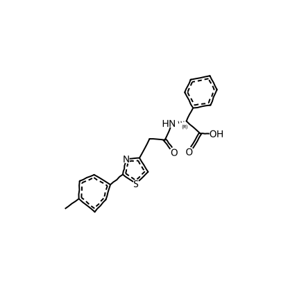 Cc1ccc(-c2nc(CC(=O)N[C@@H](C(=O)O)c3ccccc3)cs2)cc1